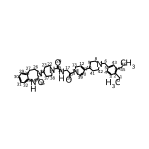 CCc1ccc(CN2CCC(C3=CCN(C(=O)CNC(=O)N4CCC(N5CCc6ccccc6NC5=O)CC4)C=C3)CC2)cc1CC